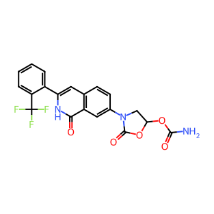 NC(=O)OC1CN(c2ccc3cc(-c4ccccc4C(F)(F)F)[nH]c(=O)c3c2)C(=O)O1